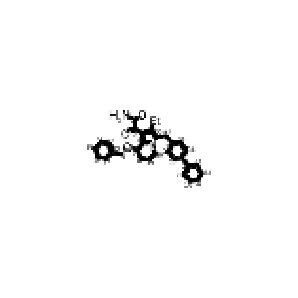 CCc1c(C(=O)C(N)=O)c2c(OCc3ccccc3)cccn2c1Cc1ccc(-c2ccccc2)cc1